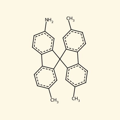 Cc1ccc2c(c1)C1(c3cc(C)ccc3-2)c2cc(C)ccc2-c2ccc(N)cc21